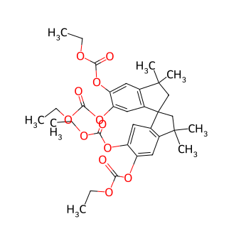 CCOC(=O)Oc1cc2c(cc1OC(=O)OCC)C1(CC2(C)C)CC(C)(C)c2cc(OC(=O)OCC)c(OC(=O)OCC)cc21